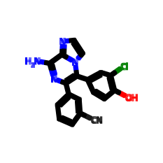 N#Cc1cccc(-c2nc(N)c3nccn3c2-c2ccc(O)c(Cl)c2)c1